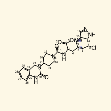 COC(=O)C(CC(=C/CCl)/C=C1/C=NNC1)NC(=O)N1CCC(N2Cc3ccccc3NC2=O)CC1